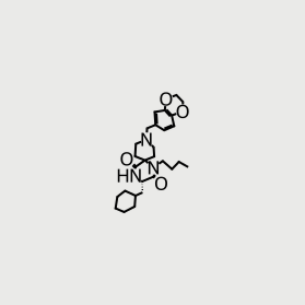 CCCCN1C(=O)[C@H](CC2CCCCC2)NC(=O)C12CCN(Cc1ccc3c(c1)OCCO3)CC2